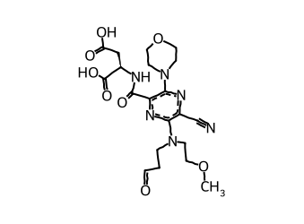 COCCN(CCC=O)c1nc(C(=O)N[C@H](CC(=O)O)C(=O)O)c(N2CCOCC2)nc1C#N